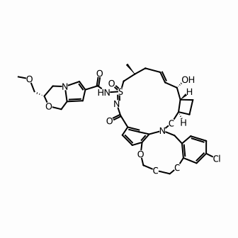 COC[C@@H]1Cn2cc(C(=O)NS3(=O)=NC(=O)c4ccc5c(c4)N(Cc4ccc(Cl)cc4CCCCO5)C[C@@H]4CC[C@H]4[C@@H](O)/C=C/C[C@H](C)C3)cc2CO1